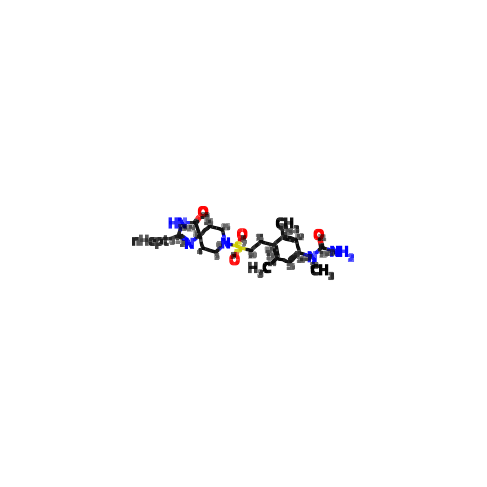 CCCCCCCC1=NC2(CCN(S(=O)(=O)CCc3c(C)cc(N(C)C(N)=O)cc3C)CC2)C(=O)N1